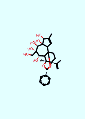 C=C(C)[C@]12CCC34O[C@](c5ccccc5)(O[C@@H]1C3[C@H](O)[C@@](O)(CO)[C@@H](O)[C@@]1(O)C4C=C(C)[C@@H]1O)O2